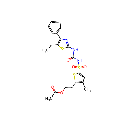 CCc1sc(NC(=O)NS(=O)(=O)c2cc(C)c(CCOC(C)=O)s2)nc1-c1ccccc1